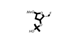 COC1CC(OC(C)(C)O)[C@@H](CF)O1